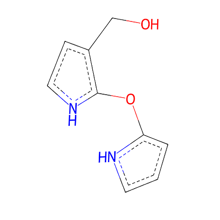 OCc1cc[nH]c1Oc1ccc[nH]1